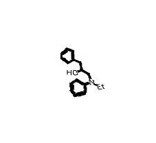 CCN(CC(O)Cc1ccccc1)c1ccccc1